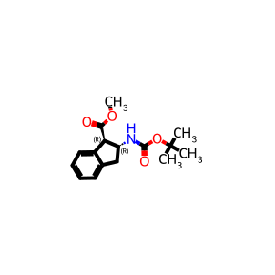 COC(=O)[C@@H]1c2ccccc2C[C@H]1NC(=O)OC(C)(C)C